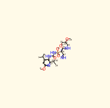 COc1cc(C(C)C)c(NC(=O)NS(=O)(=O)/C(C=N)=C2/NC[C@H](OC)CO2)c(C(C)C)n1